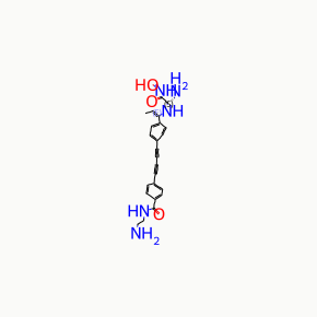 C/C=C(/N[C@@H](CN)C(=O)NO)c1ccc(C#CC#Cc2ccc(C(=O)NCCN)cc2)cc1